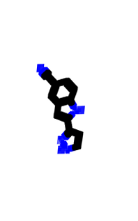 N#Cc1ccc2[nH]c(-c3cc[nH]n3)cc2c1